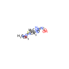 Cc1c(Nc2nccc3cc(CN4CCC(C(=O)O)C4)cnc23)cccc1-c1cccc(-c2nc3c(s2)CN(C(=O)CN(C)C)C3)c1C